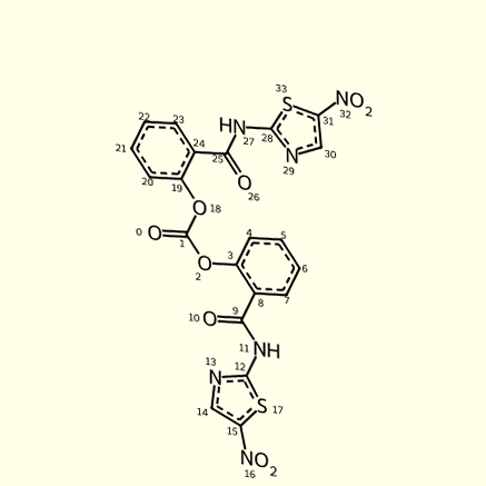 O=C(Oc1ccccc1C(=O)Nc1ncc([N+](=O)[O-])s1)Oc1ccccc1C(=O)Nc1ncc([N+](=O)[O-])s1